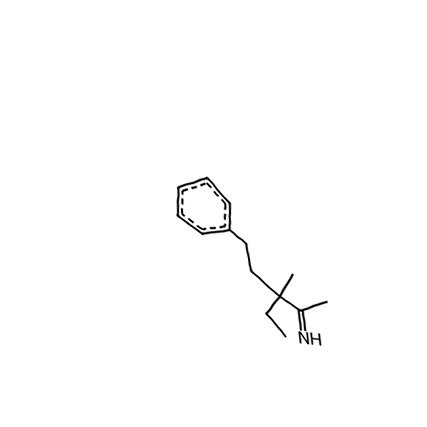 CCC(C)(CCc1ccccc1)C(C)=N